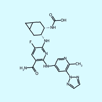 Cc1ncc(Nc2nc(N[C@@H]3CC4CC4C[C@@H]3NC(=O)O)c(F)cc2C(N)=O)cc1-n1nccn1